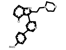 COc1ccc(-c2cncc(-c3c(CCN4CCOCC4)[nH]c4cccc(Cl)c34)c2)cc1